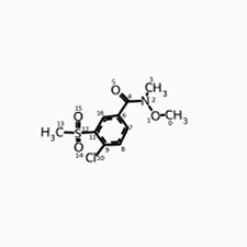 CON(C)C(=O)c1ccc(Cl)c(S(C)(=O)=O)c1